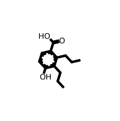 CCCc1c(O)ccc(C(=O)O)c1CCC